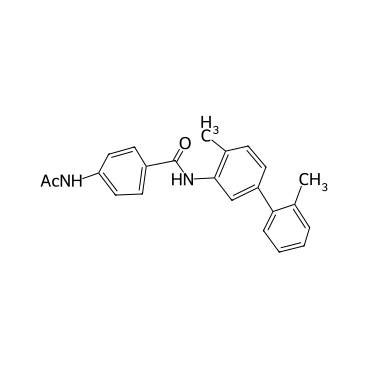 CC(=O)Nc1ccc(C(=O)Nc2cc(-c3ccccc3C)ccc2C)cc1